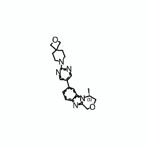 C[C@H]1COCc2nc3ccc(-c4cnc(N5CCC6(CC5)COC6)nc4)cc3n21